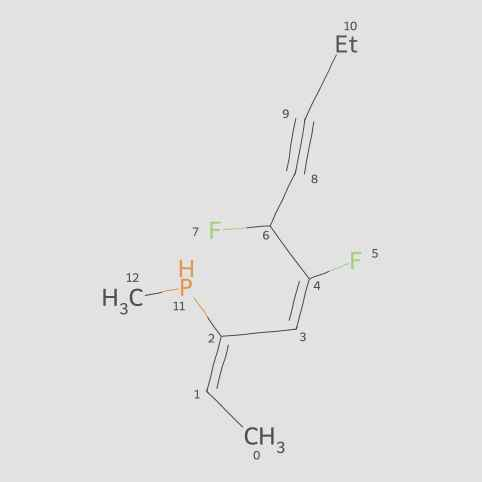 C/C=C(\C=C(\F)C(F)C#CCC)PC